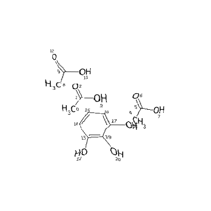 CC(=O)O.CC(=O)O.CC(=O)O.Oc1cccc(O)c1O